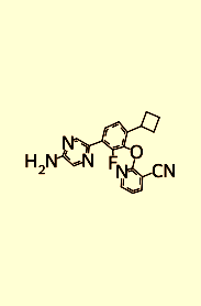 N#Cc1cccnc1Oc1c(C2CCC2)ccc(-c2cnc(N)cn2)c1F